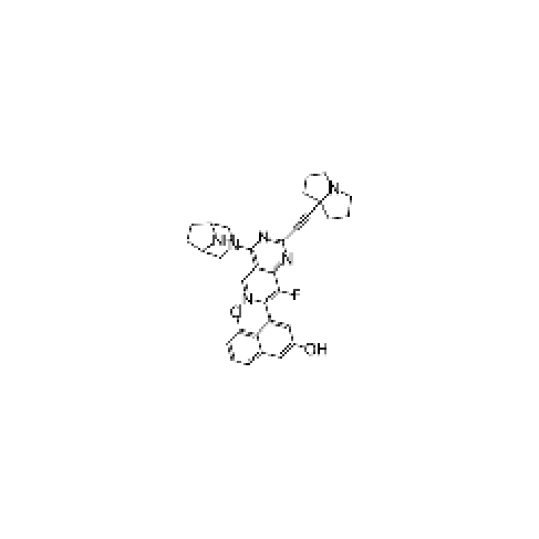 Oc1cc(-c2ncc3c(N4CC5CCC(C4)N5)nc(C#CC45CCCN4CCC5)nc3c2F)c2c(Cl)cccc2c1